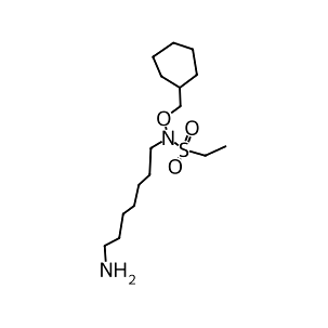 CCS(=O)(=O)N(CCCCCCCN)OCC1CCCCC1